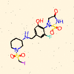 O=C1CN(c2c(O)cc(CN[C@@H]3CCCN(S(=O)(=O)CI)C3)cc2F)S(=O)(=O)N1